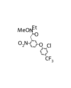 CCN(OC)C(=O)Cc1cc(Oc2ccc(C(F)(F)F)cc2Cl)ccc1[N+](=O)[O-]